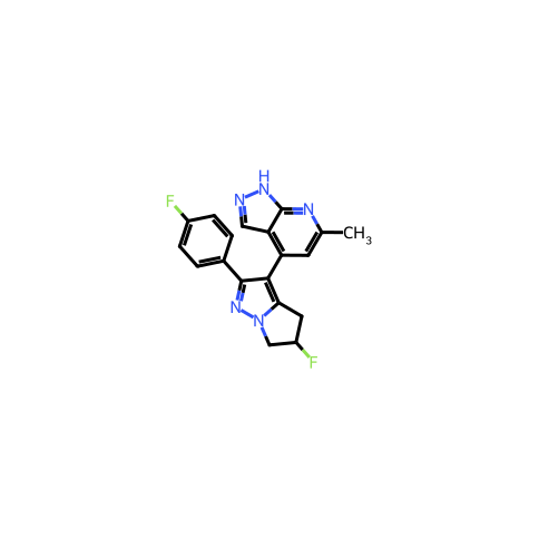 Cc1cc(-c2c(-c3ccc(F)cc3)nn3c2CC(F)C3)c2cn[nH]c2n1